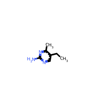 CCc1cnc(N)nc1C